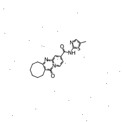 Cc1cnc(NC(=O)c2ccn3c(=O)c4c(nc3c2)CCCCCC4)s1